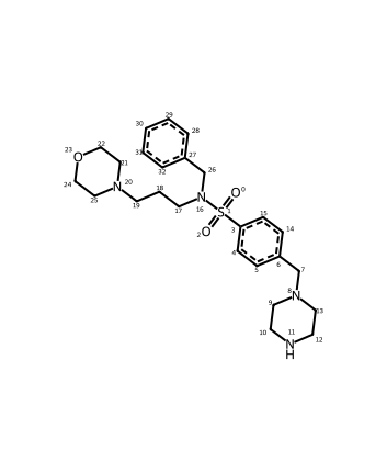 O=S(=O)(c1ccc(CN2CCNCC2)cc1)N(CCCN1CCOCC1)Cc1ccccc1